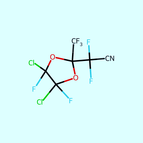 N#CC(F)(F)C1(C(F)(F)F)OC(F)(Cl)C(F)(Cl)O1